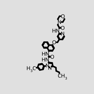 CCCCc1cc(NC(=O)Nc2ccc(OCc3ccnc(NC(=O)CN4CCOCC4)c3)c3ccccc23)n(-c2ccc(C)cc2)n1